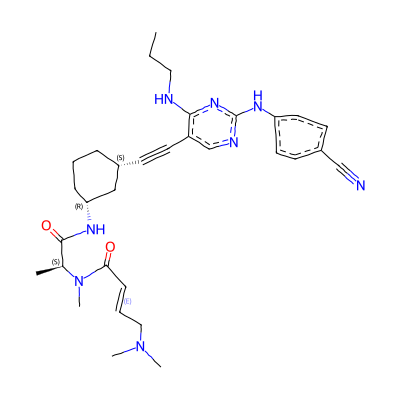 CCCNc1nc(Nc2ccc(C#N)cc2)ncc1C#C[C@H]1CCC[C@@H](NC(=O)[C@H](C)N(C)C(=O)/C=C/CN(C)C)C1